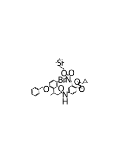 CC(CC(=O)Nc1ccc(S(=O)(=O)C2CC2)c(CN(C)C(=O)OCC[Si](C)(C)C)c1)c1cc(Br)ccc1OCc1ccccc1